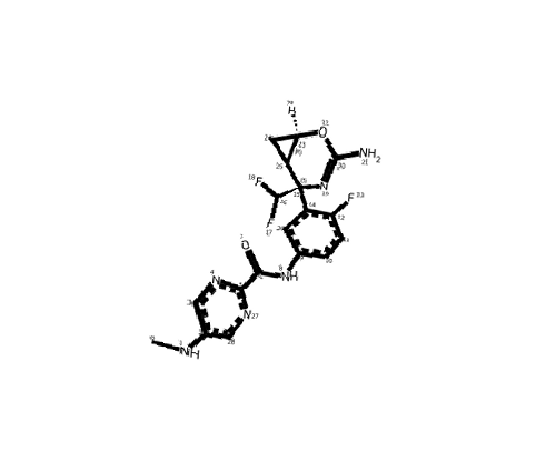 CNc1cnc(C(=O)Nc2ccc(F)c([C@@]3(C(F)F)N=C(N)O[C@@H]4CC43)c2)nc1